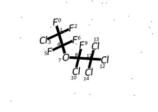 FC(F)(Cl)C(F)(F)OC(F)(Cl)C(Cl)(Cl)Cl